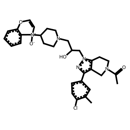 CC(=O)N1CCc2c(c(-c3ccc(Cl)c(C)c3)nn2CC(O)CN2CCC([N+]3([O-])C=COc4ccccc43)CC2)C1